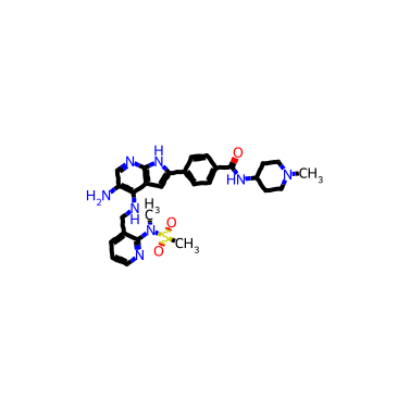 CN1CCC(NC(=O)c2ccc(-c3cc4c(NCc5cccnc5N(C)S(C)(=O)=O)c(N)cnc4[nH]3)cc2)CC1